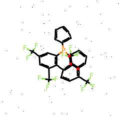 FC(F)(F)c1ccc(-c2c(P(c3ccccc3)c3ccccc3)cc(C(F)(F)F)cc2C(F)(F)F)c(C(F)(F)F)c1